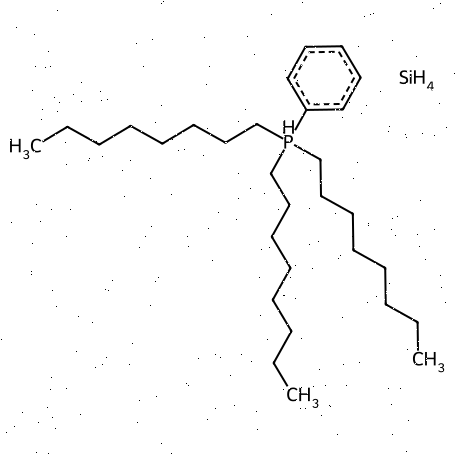 CCCCCCCC[PH](CCCCCCCC)(CCCCCCCC)c1ccccc1.[SiH4]